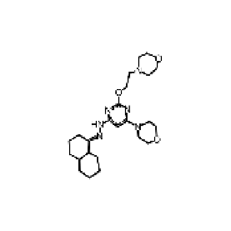 c1c(NN=C2CCCC3CCCCC23)nc(OCCN2CCOCC2)nc1N1CCOCC1